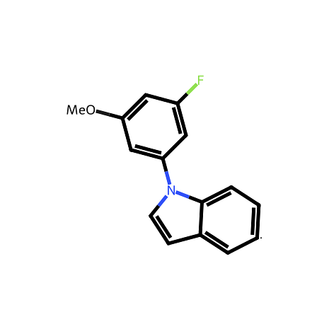 COc1cc(F)cc(-n2ccc3c[c]ccc32)c1